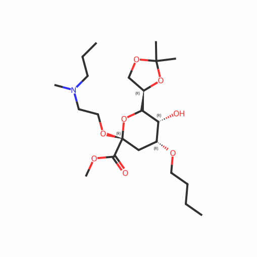 CCCCO[C@@H]1C[C@](OCCN(C)CCC)(C(=O)OC)OC([C@H]2COC(C)(C)O2)[C@@H]1O